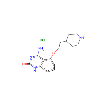 Cl.Nc1nc(=O)[nH]c2cccc(OCCC3CCNCC3)c12